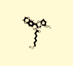 CCCCCCCC(=O)N[C@H](CN1CCCC1C)[C@H](O)c1ccc2c(c1)OCCO2